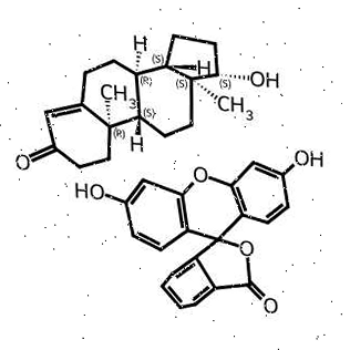 C[C@]12CC[C@H]3[C@@H](CCC4=CC(=O)CC[C@@]43C)[C@@H]1CC[C@@H]2O.O=C1OC2(c3ccc(O)cc3Oc3cc(O)ccc32)c2ccccc21